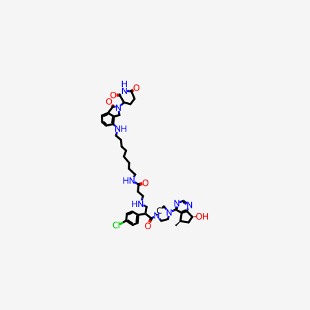 C[C@@H]1C[C@@H](O)c2ncnc(N3CCN(C(=O)C(CNCCC(=O)NCCCCCCCCNc4cccc5c4CN(C4CCC(=O)NC4=O)C5=O)c4ccc(Cl)cc4)CC3)c21